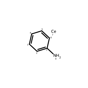 Nc1ccccc1.[Ce]